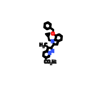 CCOC(=O)c1ccc2c(C)c(-c3cc4cccc(OCc5ccccc5)c4n3CC3CC3)nn2c1